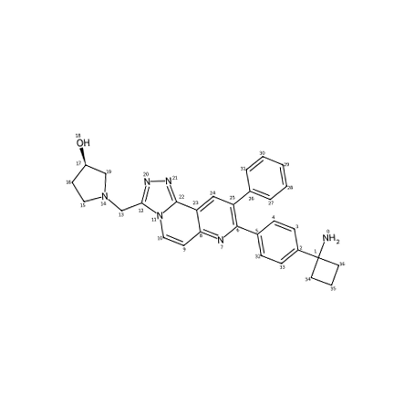 NC1(c2ccc(-c3nc4ccn5c(CN6CC[C@@H](O)C6)nnc5c4cc3-c3ccccc3)cc2)CCC1